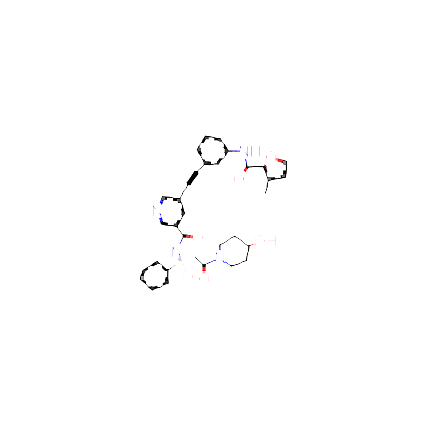 Cc1ccoc1C(=O)Nc1cccc(C#Cc2cncc(C(=O)N=[S@](=O)(CC(=O)N3CCC(O)CC3)c3ccccc3)c2)c1